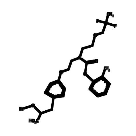 CCOC(Cc1ccc(OCCN(CCOCC(C)(F)F)C(=O)Oc2ccccc2C(F)(F)F)cc1)C(=O)O